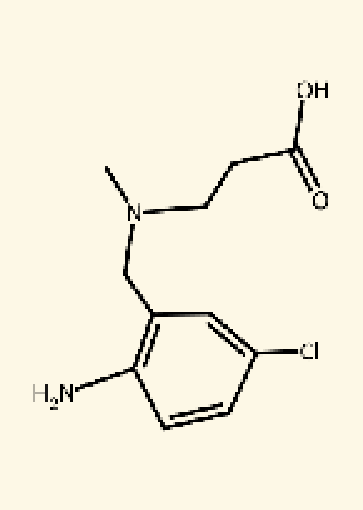 CN(CCC(=O)O)Cc1cc(Cl)ccc1N